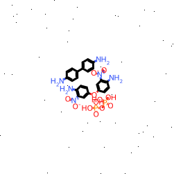 Nc1ccc(-c2ccc(N)cc2)cc1.Nc1ccc(Oc2ccc(N)c([N+](=O)[O-])c2)cc1[N+](=O)[O-].O=P(O)(O)OP(=O)(O)O